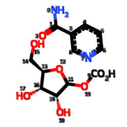 NC(=O)c1cccnc1.O=C(O)OC1O[C@H](CO)[C@@H](O)[C@H]1O